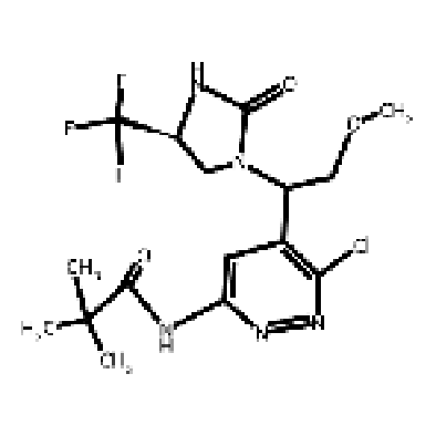 COCC(c1cc(NC(=O)C(C)(C)C)nnc1Cl)N1C[C@@H](C(F)(F)F)NC1=O